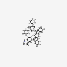 C/C=C\c1ccc(-n2c3ccccc3c3cc4c5ccccc5n(C5=NC(c6ccccc6)NC(c6ccccc6)=N5)c4cc32)cc1N